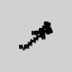 CCCCCCCCCCC(Nc1ccc([N+](=O)[O-])c2nonc12)C(=O)O